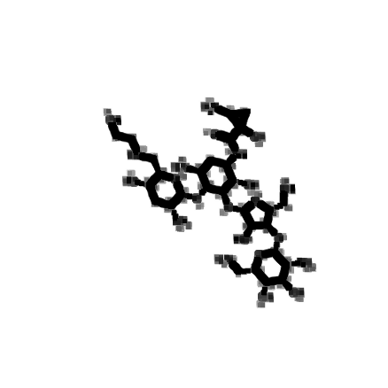 NC[C@@H]1O[C@H](O[C@H]2[C@@H](O)[C@H](O[C@@H]3[C@@H](O)[C@H](NC(=O)C4(O)CC4N)C[C@H](N)[C@H]3O[C@H]3O[C@H](CNCCO)[C@@H](O)C[C@H]3N)O[C@@H]2CO)[C@H](N)[C@@H](O)[C@@H]1O